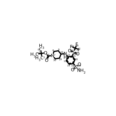 CC(C)(C)OC(=O)N1CCC(Nc2ccc(S(N)(=O)=O)cc2S(=O)(=O)C(F)(F)F)CC1